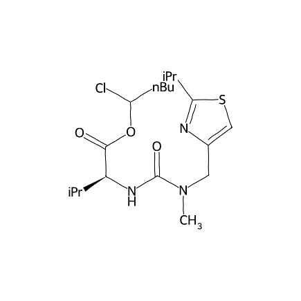 CCCCC(Cl)OC(=O)[C@@H](NC(=O)N(C)Cc1csc(C(C)C)n1)C(C)C